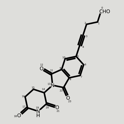 O=CCCC#Cc1ccc2c(c1)C(=O)N(C1CCC(=O)NC1=O)C2=O